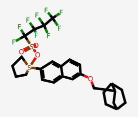 O=S(=O)(OS1(c2ccc3cc(OCC4CC5CCC4CC5)ccc3c2)CCCC1)C(F)(F)C(F)(F)C(F)(F)C(F)(F)F